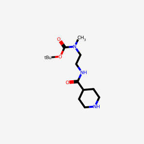 CN(CCNC(=O)C1CCNCC1)C(=O)OC(C)(C)C